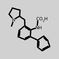 CN1CCCC1Cc1cccc(-c2ccccc2)c1NC(=O)O